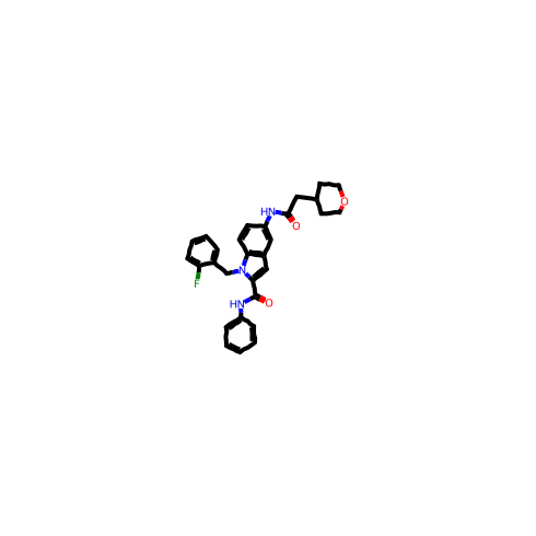 O=C(CC1CCOCC1)Nc1ccc2c(c1)cc(C(=O)Nc1ccccc1)n2Cc1ccccc1F